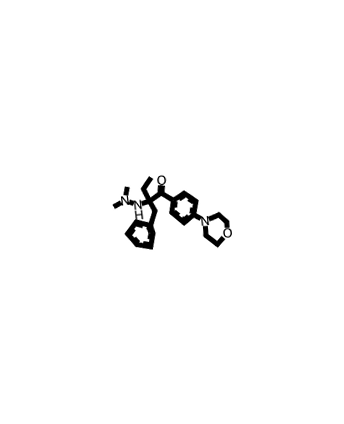 CCC(Cc1ccccc1)(NN(C)C)C(=O)c1ccc(N2CCOCC2)cc1